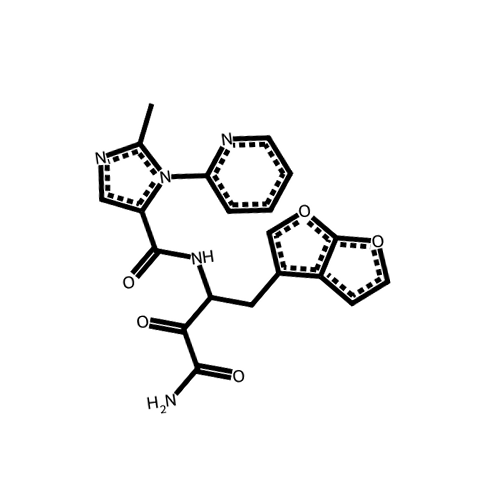 Cc1ncc(C(=O)NC(Cc2coc3occc23)C(=O)C(N)=O)n1-c1ccccn1